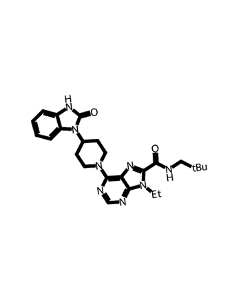 CCn1c(C(=O)NCC(C)(C)C)nc2c(N3CCC(n4c(=O)[nH]c5ccccc54)CC3)ncnc21